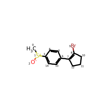 C[S+]([O-])c1ccc(C2=C(Br)CCC2)cc1